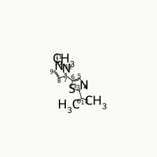 CC(C)c1ncc(-c2ccn(C)n2)s1